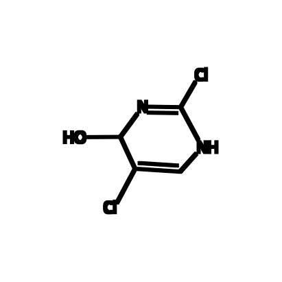 OC1N=C(Cl)NC=C1Cl